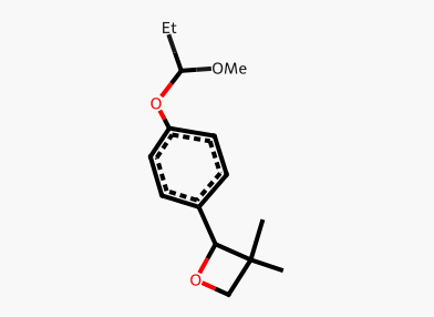 CCC(OC)Oc1ccc(C2OCC2(C)C)cc1